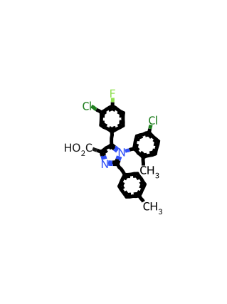 Cc1ccc(-c2nc(C(=O)O)c(-c3ccc(F)c(Cl)c3)n2-c2cc(Cl)ccc2C)cc1